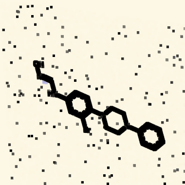 O/N=C/Nc1ccc(N2CCN(c3ccccc3)CC2)c(Br)c1